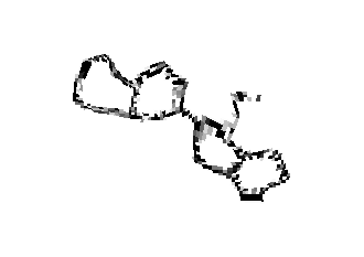 CCCCn1c(-c2ccc3ccccc3c2)cc2ccccc21